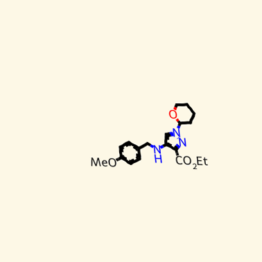 CCOC(=O)c1nn(C2CCCCO2)cc1NCc1ccc(OC)cc1